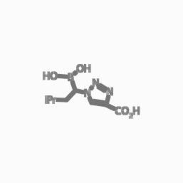 CC(C)CC(B(O)O)n1cc(C(=O)O)nn1